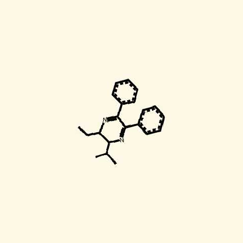 CCC1N=C(c2ccccc2)C(c2ccccc2)=NC1C(C)C